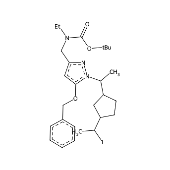 CCN(Cc1cc(OCc2ccccc2)n(C(C)C2CCC(C(C)I)C2)n1)C(=O)OC(C)(C)C